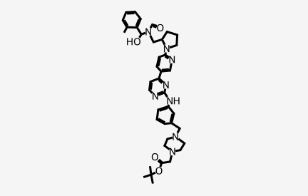 Cc1ccccc1C(O)N(C=O)CC1CCCN1c1ccc(-c2ccnc(Nc3cccc(CN4CCN(CC(=O)OC(C)(C)C)CC4)c3)n2)cn1